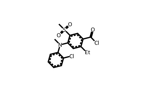 CCc1cc(N(C)c2ccccc2Cl)c(S(C)(=O)=O)cc1C(=O)Cl